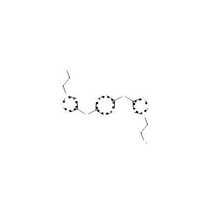 OCCn1nnc(Nc2nnc(Nc3nnn(CCO)n3)nn2)n1